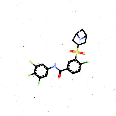 O=C(Nc1cc(F)c(F)c(F)c1)c1ccc(Cl)c(S(=O)(=O)C2CC3CC(C2)N3)c1